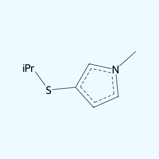 CC(C)Sc1ccn(C)c1